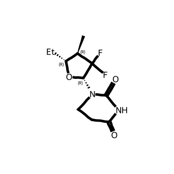 CC[C@H]1O[C@@H](N2CCC(=O)NC2=O)C(F)(F)[C@@H]1C